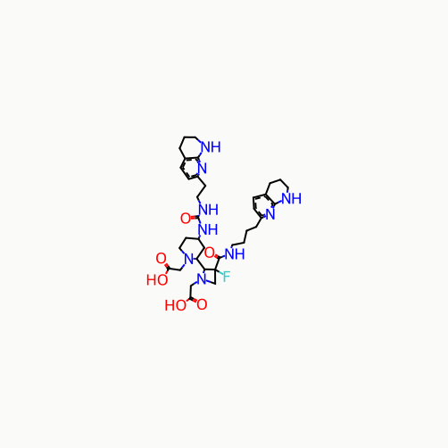 O=C(O)CN1CCC(NC(=O)NCCc2ccc3c(n2)NCCC3)CC1C1N(CC(=O)O)CC1(F)C(=O)NCCCCc1ccc2c(n1)NCCC2